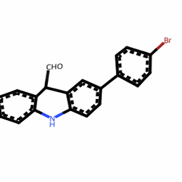 O=CC1c2ccccc2Nc2ccc(-c3ccc(Br)cc3)cc21